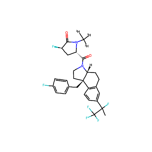 [2H]C([2H])([2H])N1C(=O)[C@H](F)C[C@H]1C(=O)N1CC[C@@]2(Cc3ccc(F)cc3)c3ccc(C(C)(F)C(F)(F)F)cc3CC[C@@H]12